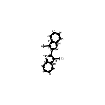 Ic1c(-c2sc3ccccc3c2I)sc2ccccc12